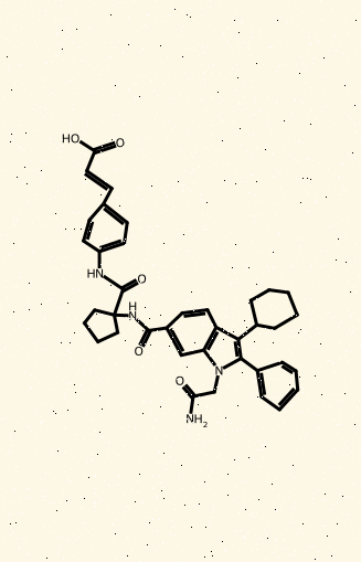 NC(=O)Cn1c(-c2ccccc2)c(C2CCCCC2)c2ccc(C(=O)NC3(C(=O)Nc4ccc(/C=C/C(=O)O)cc4)CCCC3)cc21